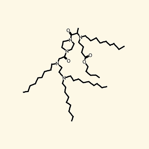 CCCCCCCCCN(CCCCCCCCC)CCN(CCCCCCCCC)CC(=O)N1CCN(C(=O)C(C)N(CCCCCCCCC)CCCC(=O)OCCCCC)CC1